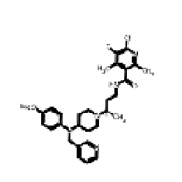 COc1ccc(N(Cc2cccnc2)C2CCN([C@H](C)CCNC(=O)c3c(C)nc(Cl)c(F)c3C)CC2)cc1